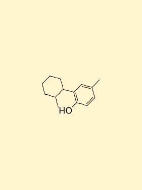 Cc1ccc(O)c(C2CCCCC2C)c1